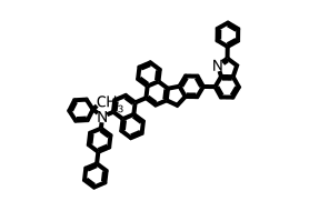 CC1(N(c2ccc(-c3ccccc3)cc2)c2ccc(-c3cc4c(c5ccccc35)-c3ccc(-c5cccc6c5N=C(c5ccccc5)C6)cc3C4)c3ccccc23)C=CC=CC1